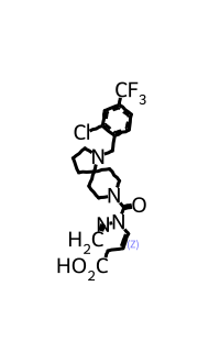 C=NN(/C=C\CC(=O)O)C(=O)N1CCC2(CCCN2Cc2ccc(C(F)(F)F)cc2Cl)CC1